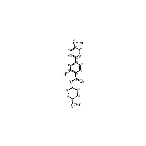 CCCCCCCC[C@H]1CC[C@H](OC(=O)c2ccc(-c3ncc(CCCCCC)cn3)cc2F)CC1